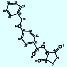 O=C(ON1C(=O)CCC1=O)c1ccc(OCc2ccccc2)cc1